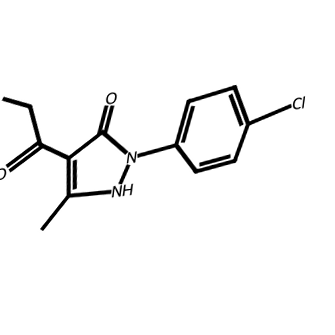 CCC(=O)c1c(C)[nH]n(-c2ccc(Cl)cc2)c1=O